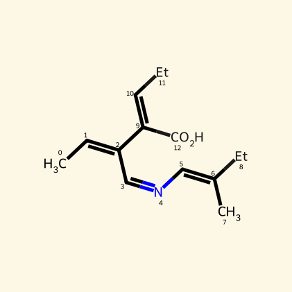 C/C=C(\C=N/C=C(\C)CC)C(=C/CC)/C(=O)O